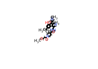 COCCC(=O)N1CCC(c2nc(-c3cncc(C(O)(c4ccc(C(C)C)cc4)C4(C)CN(C)C4)c3)no2)CC1